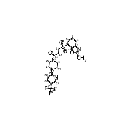 Cc1nc2cccc(S(=O)(=O)CCC(=O)N3CCN(c4ccc(C(F)(F)F)cn4)CC3)c2o1